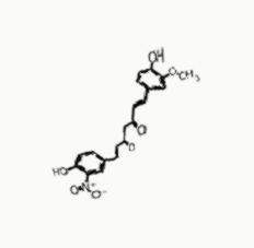 COc1cc(/C=C/C(=O)CC(=O)/C=C/c2ccc(O)c([N+](=O)[O-])c2)ccc1O